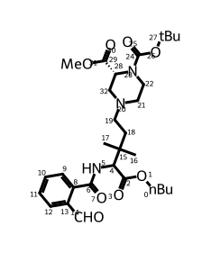 CCCCOC(=O)C(NC(=O)c1ccccc1C=O)C(C)(C)CCN1CCN(C(=O)OC(C)(C)C)[C@@H](C(=O)OC)C1